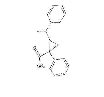 CC(c1ccccc1)C1CC1(C(N)=O)c1ccccc1